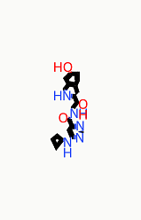 O=C(NC[C@@H](O)[C@@H]1Cc2ccc(O)cc2CN1)c1cc(NC2CCC2)ncn1